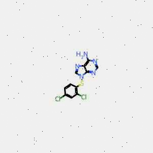 Nc1ncnc2c1ncn2Sc1ccc(Cl)cc1Cl